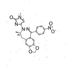 C[C@@H]1Cc2cc3c(cc2C(c2ccc([N+](=O)[O-])cc2)=NN1c1nc(=O)n(C)s1)OCO3